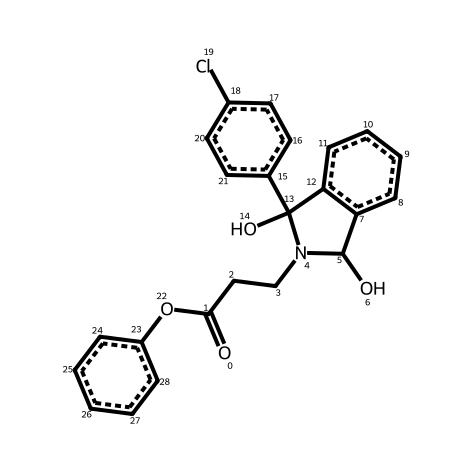 O=C(CCN1C(O)c2ccccc2C1(O)c1ccc(Cl)cc1)Oc1ccccc1